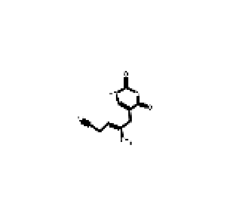 CC(=CCC#N)Cc1c[nH]c(=O)[nH]c1=O